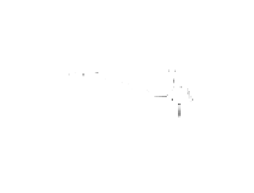 O=C(O)CCOCCCN1C(=O)C=CC1O